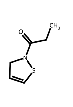 CCC(=O)N1CC=CS1